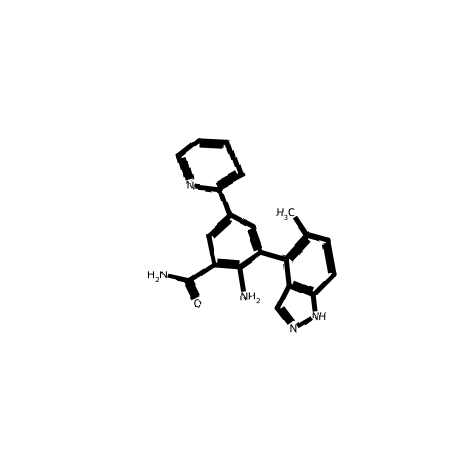 Cc1ccc2[nH]ncc2c1-c1cc(-c2ccccn2)cc(C(N)=O)c1N